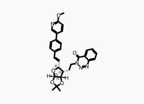 COc1ccc(-c2ccc(C=C[C@H]3O[C@H]4OC(C)(C)O[C@H]4[C@H]3CCn3nnc4ccccc4c3=O)cc2)cn1